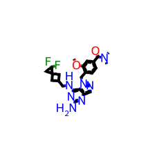 COc1cc(C(=O)N(C)C)ccc1Cn1ncc2nc(N)nc(NCC3CC4(C3)CC4(F)F)c21